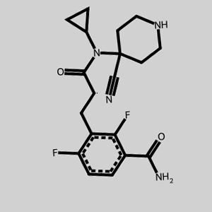 N#CC1(N(C(=O)[CH]Cc2c(F)ccc(C(N)=O)c2F)C2CC2)CCNCC1